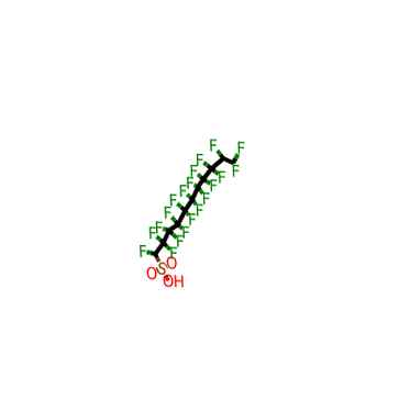 O=S(=O)(O)C(F)C(F)(F)C(F)(F)C(F)(F)C(F)(F)C(F)(F)C(F)(F)C(F)(F)C(F)(F)C(F)C(F)F